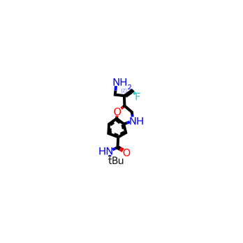 CC(C)(C)NC(=O)c1ccc2c(c1)NCC(/C(=C\F)CN)O2